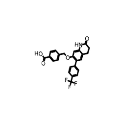 O=C1CCc2cc(-c3ccc(C(F)(F)F)cc3)c(OCc3ccc(C(=O)O)cc3)cc2N1